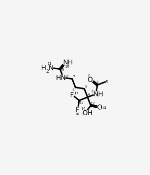 CC(=O)NC(CCCNC(=N)N)(C(=O)O)C(F)F